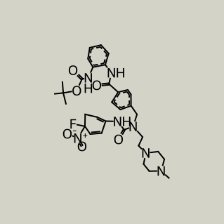 CN1CCN(CCN(Cc2ccc(C(=O)Nc3ccccc3NC(=O)OC(C)(C)C)cc2)C(=O)NC2=CCC(F)([N+](=O)[O-])C=C2)CC1